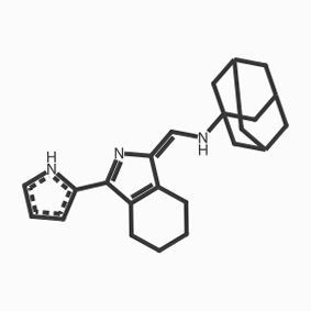 C(/NC12CC3CC(CC(C3)C1)C2)=C1\N=C(c2ccc[nH]2)C2=C1CCCC2